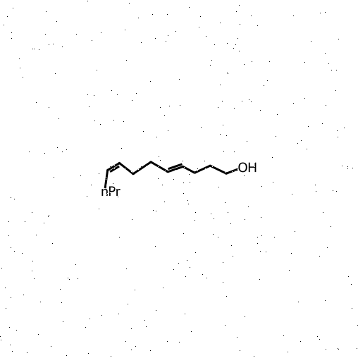 CCC/C=C\CC/C=C/CCCO